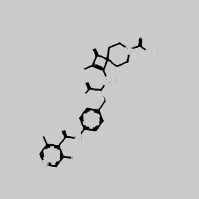 CC(=O)N1CCC2(CC1)C(=O)C(Br)=C2N[C@@H](Cc1ccc(NC(=O)c2c(Cl)cncc2Cl)cc1)C(=O)O